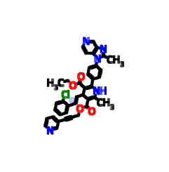 CCOC(=O)C1=C(c2ccc(-n3c(C)nc4cnccc43)cc2)NC(C)=C(C(=O)OCC#Cc2cccnc2)C1/C=C/c1ccccc1Cl